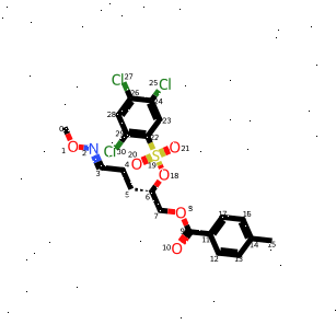 CON=CCC[C@@H](COC(=O)c1ccc(C)cc1)OS(=O)(=O)c1cc(Cl)c(Cl)cc1Cl